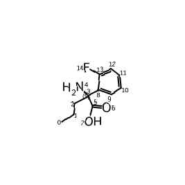 CCC[C@@](N)(C(=O)O)c1ccccc1F